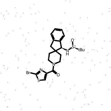 CC(C)(C)[S@+]([O-])N[C@@H]1c2ccccc2CC12CCN(C(=O)c1csc(Br)n1)CC2